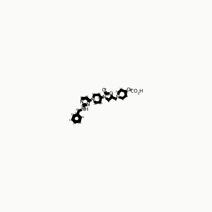 O=C(O)OC1CCN(CC2CN(C3CCN(c4ccnc(NCc5ccccc5)n4)CC3)C(=O)O2)CC1